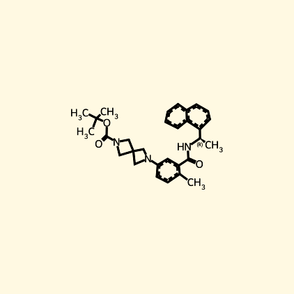 Cc1ccc(N2CC3(CN(C(=O)OC(C)(C)C)C3)C2)cc1C(=O)N[C@H](C)c1cccc2ccccc12